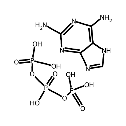 Nc1nc(N)c2[nH]cnc2n1.O=P(O)(O)OP(=O)(O)OP(=O)(O)O